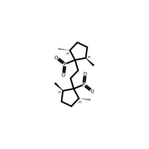 C[C@@H]1CC[C@@H](C)C1(CCC1(P(=O)=O)[C@H](C)CC[C@H]1C)P(=O)=O